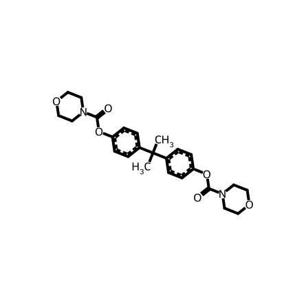 CC(C)(c1ccc(OC(=O)N2CCOCC2)cc1)c1ccc(OC(=O)N2CCOCC2)cc1